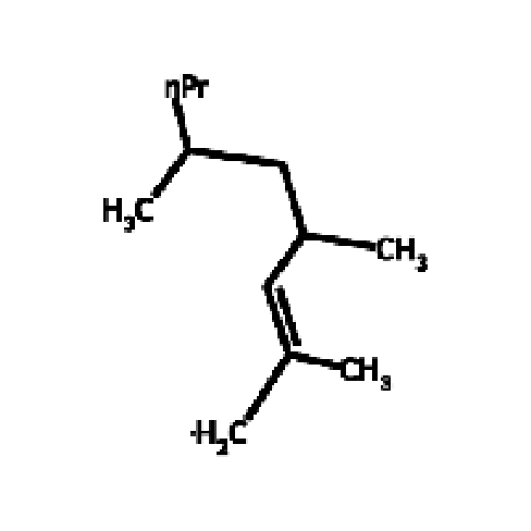 [CH2]C(C)=CC(C)CC(C)CCC